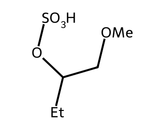 CCC(COC)OS(=O)(=O)O